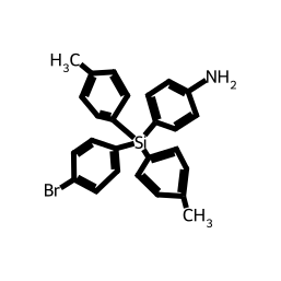 Cc1ccc([Si](c2ccc(C)cc2)(c2ccc(N)cc2)c2ccc(Br)cc2)cc1